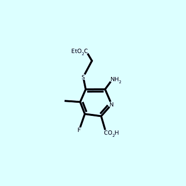 CCOC(=O)CSc1c(N)nc(C(=O)O)c(F)c1C